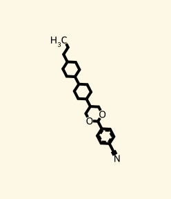 CCCC1CCC(C2CCC(C3COC(c4ccc(C#N)cc4)OC3)CC2)CC1